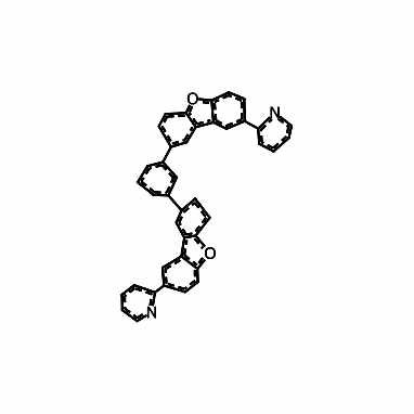 c1ccc(-c2ccc3oc4ccc(-c5cccc(-c6ccc7oc8ccc(-c9ccccn9)cc8c7c6)c5)cc4c3c2)nc1